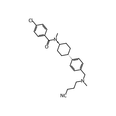 CN(CCCC#N)Cc1ccc([C@H]2CC[C@H](N(C)C(=O)c3ccc(Cl)cc3)CC2)cc1